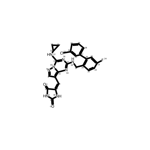 O=C1NC(=O)/C(=C\c2cnn3c(NC4CC4)nc(NCc4ccc(F)cc4-c4cccc(Cl)c4)nc23)N1